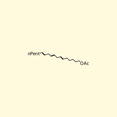 CCCCCC=CCC=CCC=CCCCCCOC(C)=O